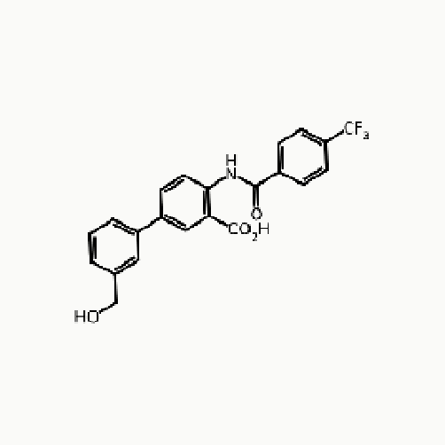 O=C(Nc1ccc(-c2cccc(CO)c2)cc1C(=O)O)c1ccc(C(F)(F)F)cc1